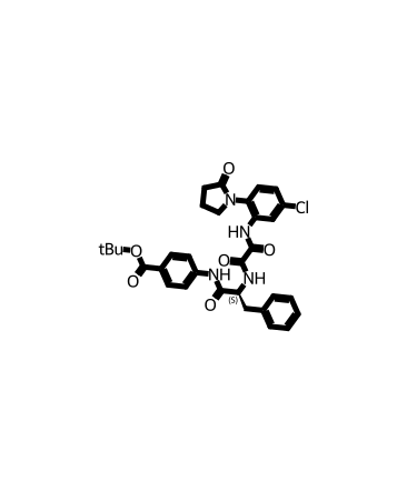 CC(C)(C)OC(=O)c1ccc(NC(=O)[C@H](Cc2ccccc2)NC(=O)C(=O)Nc2cc(Cl)ccc2N2CCCC2=O)cc1